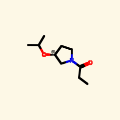 CCC(=O)N1CC[C@H](OC(C)C)C1